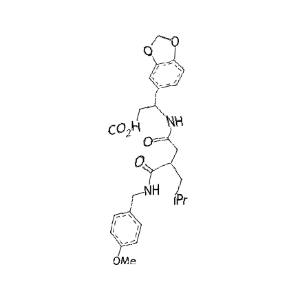 COc1ccc(CNC(=O)C(CC(=O)NC(CC(=O)O)c2ccc3c(c2)OCO3)CC(C)C)cc1